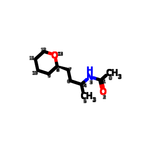 CC(=O)NC(C)CC[C@H]1CCCCO1